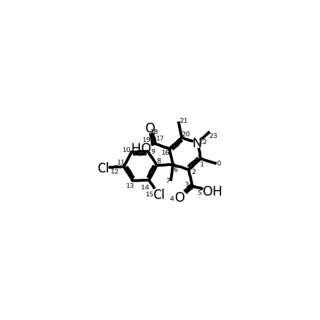 CC1=C(C(=O)O)C(C)(c2ccc(Cl)cc2Cl)C(C(=O)O)=C(C)N1C